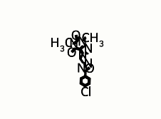 Cn1c(=O)c2c(ncn2Cc2noc(-c3ccc(Cl)cc3)n2)n(C)c1=O